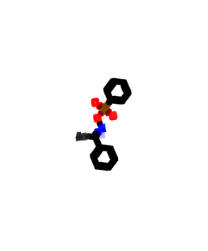 CC(=O)/C(=N\OS(=O)(=O)c1ccccc1)c1ccccc1